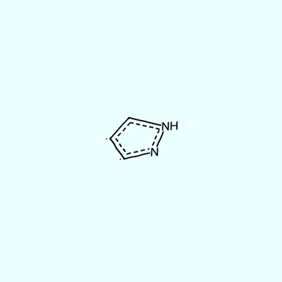 [c]1[c]n[nH]c1